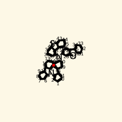 c1ccc(-n2c3ccccc3c3ccccc32)c(-c2ccc(N(c3ccc4c(c3)oc3ccccc34)c3cccc4sc5ccccc5c34)cc2)c1